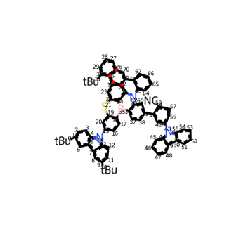 CC(C)(C)c1ccc2c(c1)c1cc(C(C)(C)C)ccc1n2-c1ccc2c(c1)Sc1cc(-c3ccccc3C(C)(C)C)cc3c1B2c1ccc(-c2cc(-n4c5ccccc5c5ccccc54)ccc2C#N)cc1N3c1ccccc1-c1ccccc1